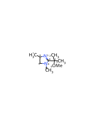 COC(C)(C)C1=NC(C)CN1C